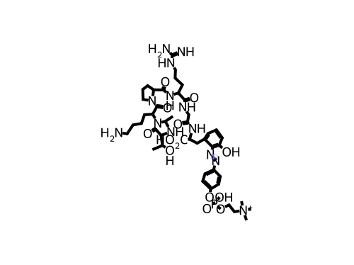 CC(O)C1NC(C)N(C(CCCCN)C(=O)N2CCCC2C(=O)NC(CCCNC(=N)N)C(=O)NCC(=O)NC(Cc2cccc(O)c2/N=N/c2ccc(OP(=O)(O)OCC[N+](C)(C)C)cc2)C(=O)O)C1=O